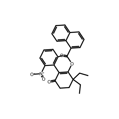 CCC1(CC)CCC(=O)C(c2c(C)cccc2[N+](=O)[O-])=C1OC(=O)c1cccc2ccccc12